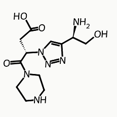 N[C@@H](CO)c1cn([C@@H](CC(=O)O)C(=O)N2CCNCC2)nn1